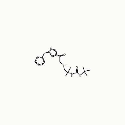 CC(C)(CNCC(=O)c1cnn(Cc2ccccc2)c1)NC(=O)OC(C)(C)C